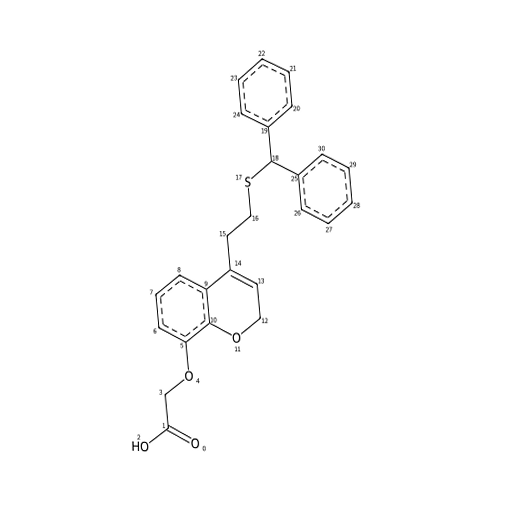 O=C(O)COc1cccc2c1OCC=C2CCSC(c1ccccc1)c1ccccc1